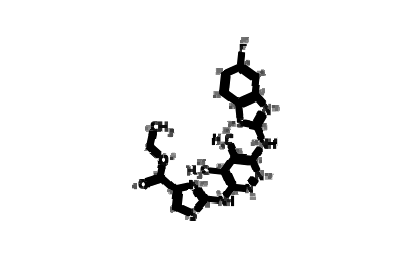 CCOC(=O)c1csc(Nc2nnc(Nc3nc4cc(F)ccc4s3)c(C)c2C)n1